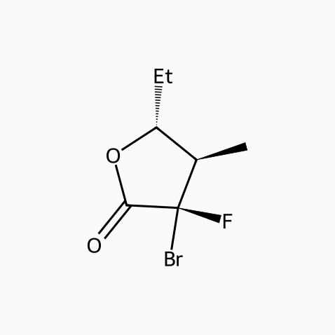 CC[C@H]1OC(=O)[C@@](F)(Br)[C@@H]1C